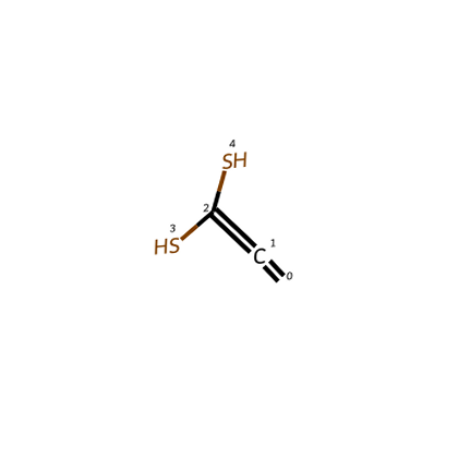 C=C=C(S)S